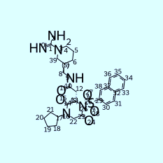 N=C(N)N1CCC[C@@H](CNC(=O)C[C@H]2C(=O)N(C3CCCC3)CC(=O)N2S(=O)(=O)c2ccc3ccccc3c2)C1